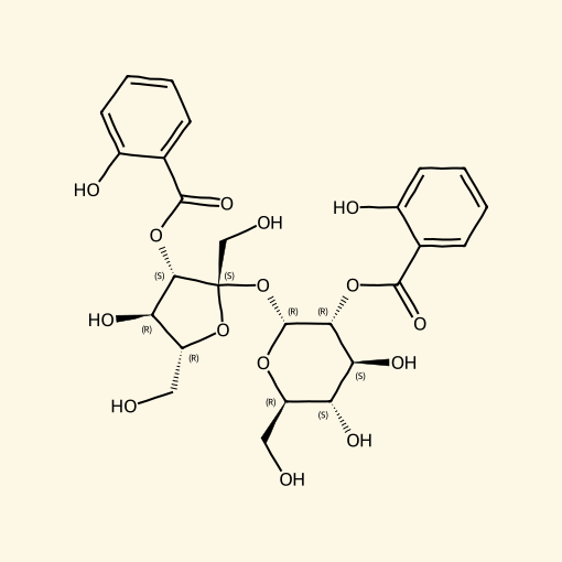 O=C(O[C@H]1[C@@H](O[C@]2(CO)O[C@H](CO)[C@@H](O)[C@@H]2OC(=O)c2ccccc2O)O[C@H](CO)[C@@H](O)[C@@H]1O)c1ccccc1O